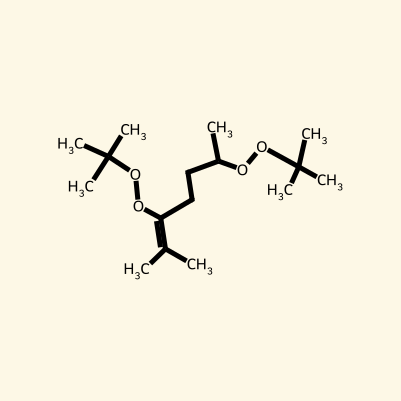 CC(C)=C(CCC(C)OOC(C)(C)C)OOC(C)(C)C